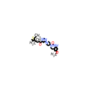 CCc1sccc1C(C)(C)CCC(=O)c1cc(N2CCC(N3CCc4cc(OC)ccc4NC3=O)CC2)ncn1